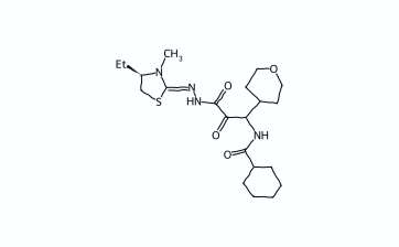 CC[C@@H]1CS/C(=N\NC(=O)C(=O)C(NC(=O)C2CCCCC2)C2CCOCC2)N1C